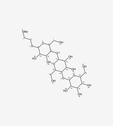 CSCCOC1OC(CO)C(OC2OC(CO)C(OC3OC(CO)C(O)C(O)C3O)C(O)C2O)C(O)C1O